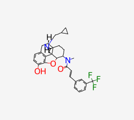 CN(C(=O)/C=C/c1cccc(C(F)(F)F)c1)C1CC[C@H]2[C@H]3Cc4ccc(O)c5c4[C@@]2(CCN3CC2CC2)C1O5